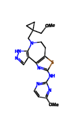 COCC1(CN2CCc3sc(Nc4nccc(OC)n4)nc3-c3cn[nH]c32)CC1